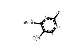 CC[CH]CCc1nc(Cl)ncc1[N+](=O)[O-]